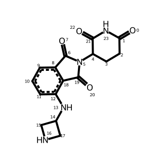 O=C1CCC(N2C(=O)c3cccc(NC4CNC4)c3C2=O)C(=O)N1